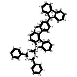 c1ccc(-c2nc(-c3ccccc3)nc(-n3c4ccccc4c4c5c(ccc43)sc3cc(C4c6ccccc6-c6ccccc64)ccc35)n2)cc1